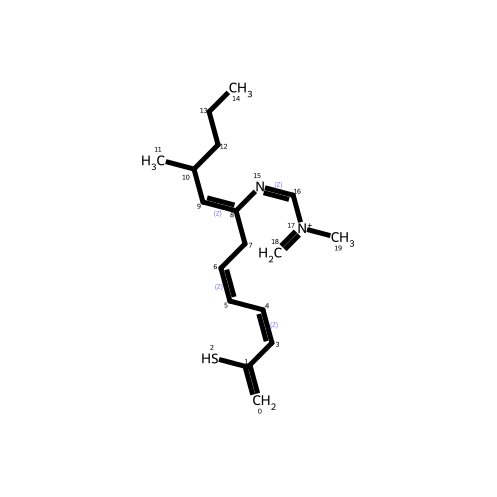 C=C(S)/C=C\C=C/CC(=C/C(C)CCC)/N=C\[N+](=C)C